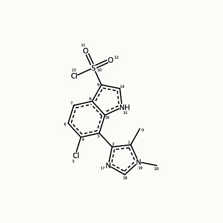 Cc1c(-c2c(Cl)ccc3c(S(=O)(=O)Cl)c[nH]c23)ncn1C